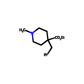 CCOC(=O)C1(CC(C)C)CCN(C)CC1